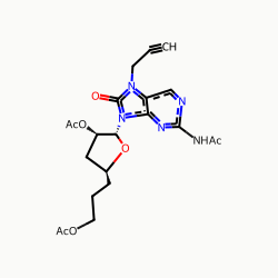 C#CCn1c(=O)n([C@@H]2O[C@@H](CCCOC(C)=O)C[C@H]2OC(C)=O)c2nc(NC(C)=O)ncc21